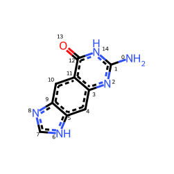 Nc1nc2cc3[nH]cnc3cc2c(=O)[nH]1